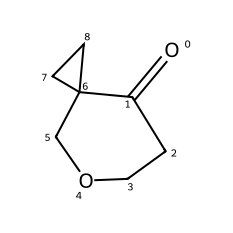 O=C1CCOCC12CC2